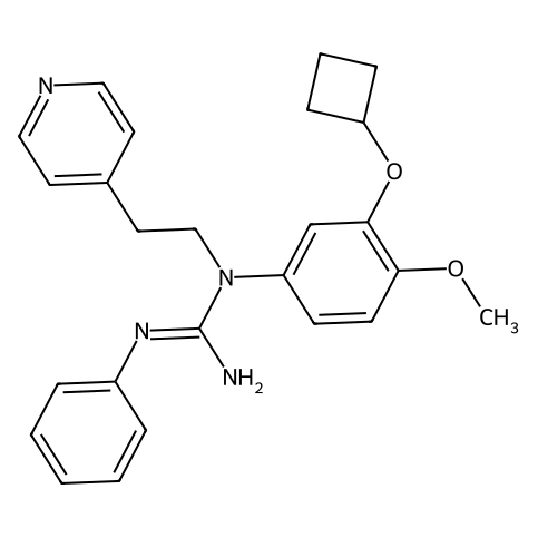 COc1ccc(N(CCc2ccncc2)/C(N)=N/c2ccccc2)cc1OC1CCC1